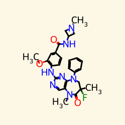 COc1cc(C(=O)NC2CN(C)C2)ccc1Nc1ncc2c(n1)N(c1ccccc1)CC(C)(F)C(=O)N2C